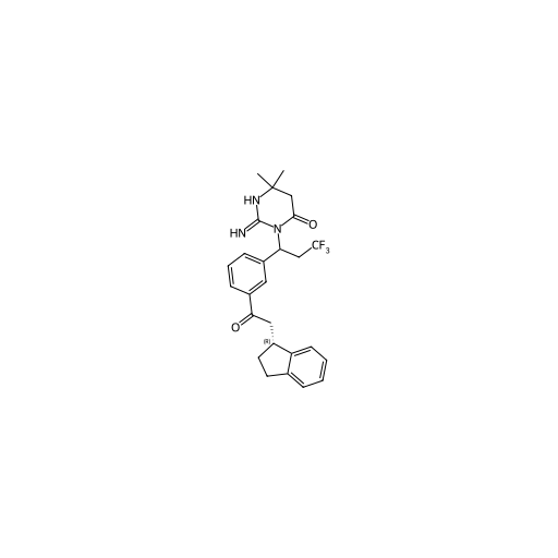 CC1(C)CC(=O)N(C(CC(F)(F)F)c2cccc(C(=O)C[C@H]3CCc4ccccc43)c2)C(=N)N1